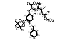 COC(=O)[C@H](Cc1ccc(OCc2ccccc2)c(B2OC(C)(C)C(C)(C)O2)c1)NC(=O)[C@H](C)NC(=O)OC(C)(C)C